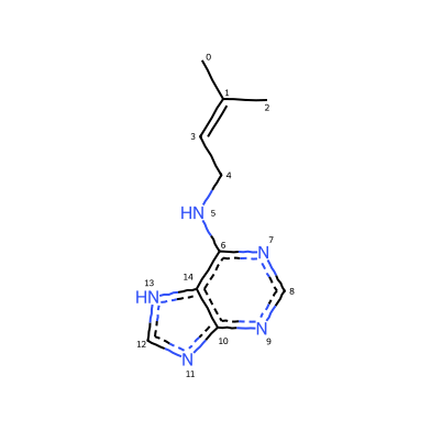 CC(C)=CCNc1ncnc2nc[nH]c12